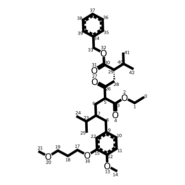 CCOC(=O)C(CC(Cc1ccc(OC)c(OCCCOC)c1)C(C)C)C(=O)C[C@H](C(=O)OCc1ccccc1)C(C)C